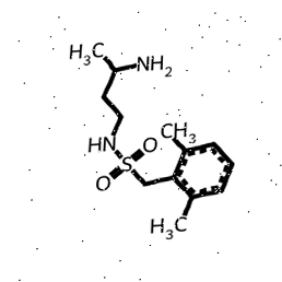 Cc1cccc(C)c1CS(=O)(=O)NCCC(C)N